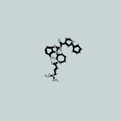 Cc1cccc2nc(NC(=O)c3ccnc(-c4ccccc4)c3)n(C3CCCCN(C(=O)C=CCN(C)C)C3)c12